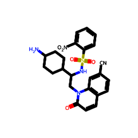 N#Cc1ccc2ccc(=O)n(CC(NS(=O)(=O)c3ccccc3[N+](=O)[O-])C3CCC(N)CC3)c2c1